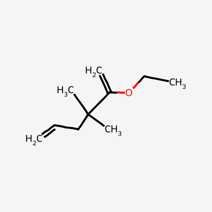 C=CCC(C)(C)C(=C)OCC